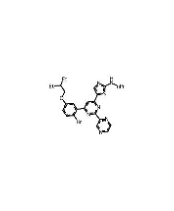 CCCNc1ncc(-c2cc(-c3cc(OCC(CC)CC)ccc3Br)nc(-c3cnccn3)n2)s1